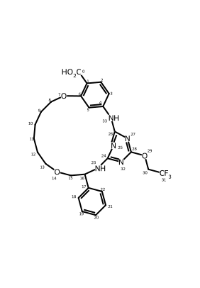 O=C(O)c1ccc2cc1OCCCCCCOCC(c1ccccc1)Nc1nc(nc(OCC(F)(F)F)n1)N2